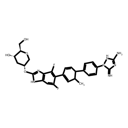 CC1C=C(c2c(F)cc3[nH]c(O[C@H]4CO[C@H](CO)[C@@H](O)C4)nc3c2F)C=CC1c1ccc(-n2[nH]c(N)nc2=N)cc1